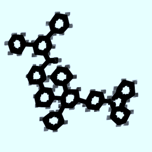 O=C(c1cccc(-c2cccc(-c3c(-c4ccccc4)cc(-c4ccc(-n5c6ccccc6c6ccccc65)cc4)cc3-c3ccccc3)c2)c1)c1cc(-c2ccccc2)cc(-c2ccccc2)c1